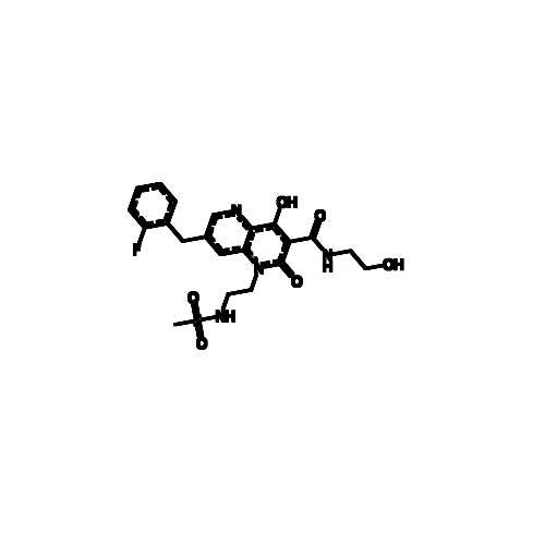 CS(=O)(=O)NCCn1c(=O)c(C(=O)NCCO)c(O)c2ncc(Cc3ccccc3F)cc21